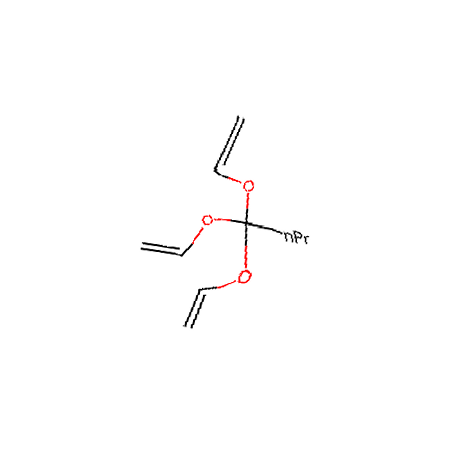 C=COC(CCC)(OC=C)OC=C